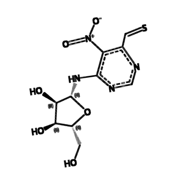 O=[N+]([O-])c1c(C=S)ncnc1N[C@@H]1O[C@H](CO)[C@@H](O)[C@H]1O